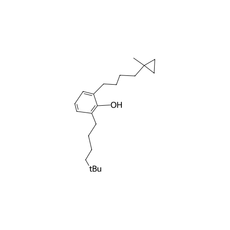 CC(C)(C)CCCCc1cccc(CCCCC2(C)CC2)c1O